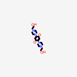 O=C1C=C(N2CCN(CCO)CC2)C(=O)C=C1N1CCN(CCO)CC1